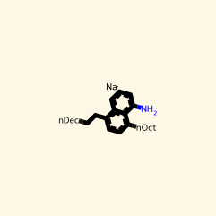 CCCCCCCCCCCCc1ccc(CCCCCCCC)c2c(N)cccc12.[Na]